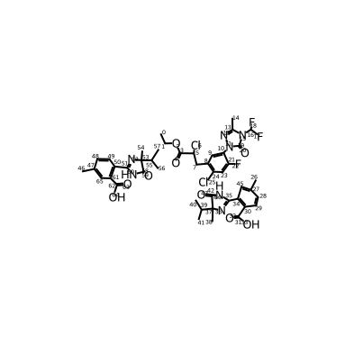 CCOC(=O)C(Cl)Cc1cc(-n2nc(C)n(C(F)F)c2=O)c(F)cc1Cl.Cc1ccc(C(=O)O)c(C2=NC(C)(C(C)C)C(=O)N2)c1.Cc1ccc(C2=NC(C)(C(C)C)C(=O)N2)c(C(=O)O)c1